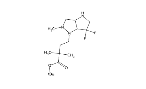 CN1CC2NCC(F)(F)C2N1CCC(C)(C)C(=O)OC(C)(C)C